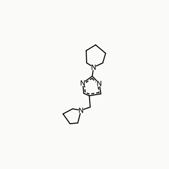 c1nc(N2CCCCC2)ncc1CN1CCCC1